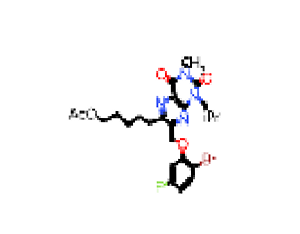 CC(=O)OCCCCCc1nc2c(=O)n(C)c(=O)n(CC(C)C)c2nc1COc1cc(F)ccc1Br